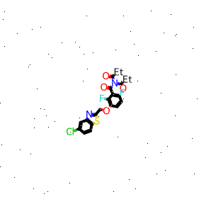 CCC(=O)N(C(=O)CC)C(=O)c1c(F)ccc(OCc2nc3cc(Cl)ccc3s2)c1F